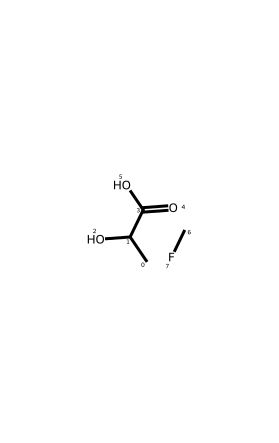 CC(O)C(=O)O.CF